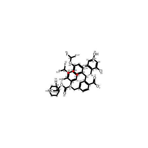 O=C([O-])c1ccc(CN(C(=O)O[C@H]2CN3CCC2CC3)c2ccccc2F)cc1[C@@H](Cc1c(Cl)c[n+](O)cc1Cl)c1ccc(OC(F)F)c(OC(F)F)c1